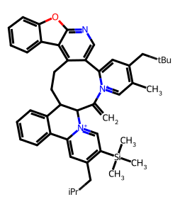 C=C1C2C(CCc3c(cnc4oc5ccccc5c34)-c3cc(CC(C)(C)C)c(C)c[n+]31)c1ccccc1-c1cc(CC(C)C)c([Si](C)(C)C)c[n+]12